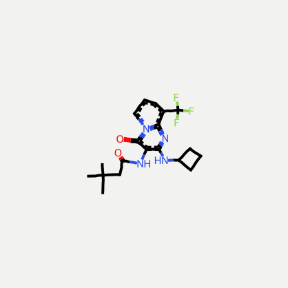 CC(C)(C)CC(=O)Nc1c(NC2CCC2)nc2c(C(F)(F)F)cccn2c1=O